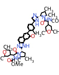 COC(=O)N[C@H](C(=O)N1[C@H](c2nc3ccc4cc5c(cc4c3[nH]2)OCc2cc(-c3cnc([C@@H]4C[C@H](C)[C@H](C)N4C(=O)[C@@H](NC(=O)O)C4C[C@@H](C)O[C@H](C)C4)[nH]3)ccc2-5)C[C@H](C)[C@@H]1C)C1C[C@@H](C)O[C@H](C)C1